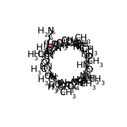 CC[C@@H]1NC(=O)C(C[C@H](C)CCCCCCCN)N(C)C(=O)[C@H](C(C)C)N(C)C(=O)N(C)C(=O)C(CC(C)C)N(C)C(=O)C(C)NC(=O)[C@@H](C)NC(=O)[C@@H](CC(C)C)N(C)C(=O)[C@@H](C(C)C)NC(=O)[C@H](CC(C)C)N(C)C(=O)CN(C)C1=O